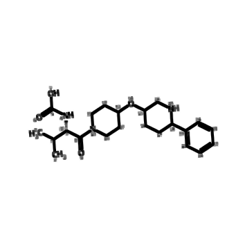 CC(C)[C@H](NC(=O)O)C(=O)N1CCC(OC2CCC(c3ccccc3)NC2)CC1